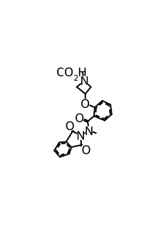 CN(C(=O)c1ccccc1OC1CN(C(=O)O)C1)N1C(=O)c2ccccc2C1=O